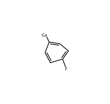 Fc1cc[c]([Ga])cc1